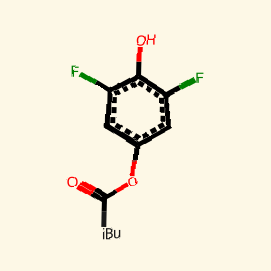 CCC(C)C(=O)Oc1cc(F)c(O)c(F)c1